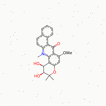 COc1cc2c(c3c1c(=O)c1c4ccccc4ccc1n3C)[C@H](O)[C@H](O)C(C)(C)O2